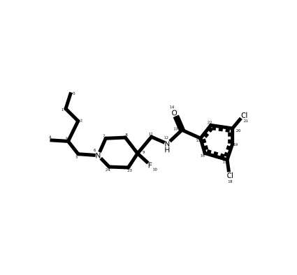 CCCC(C)CN1CCC(F)(CNC(=O)c2cc(Cl)cc(Cl)c2)CC1